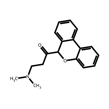 CN(C)CCC(=O)C1Oc2ccccc2-c2ccccc21